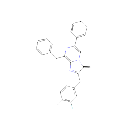 C=c1c(Cc2ccc(CCCCCCCC)c(F)c2)nc2n1C=C(C1=CCCC=C1)NC=2Cc1ccccc1